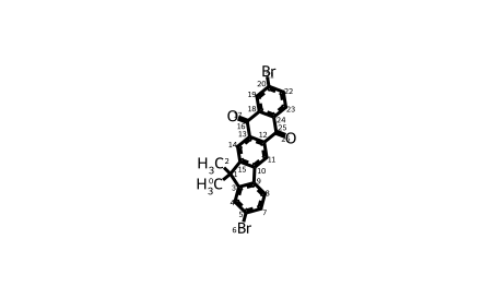 CC1(C)c2cc(Br)ccc2-c2cc3c(cc21)C(=O)c1cc(Br)ccc1C3=O